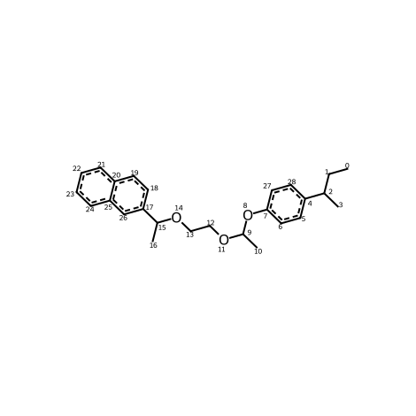 CCC(C)c1ccc(OC(C)OCCOC(C)c2ccc3ccccc3c2)cc1